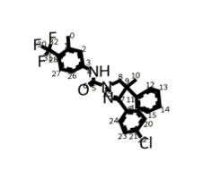 Cc1cc(NC(=O)N2CC(C)(c3ccccc3)C(c3ccc(Cl)cc3)=N2)ccc1C(F)(F)F